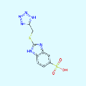 O=S(=O)(O)c1ccc2[nH]c(SCc3nnn[nH]3)nc2c1